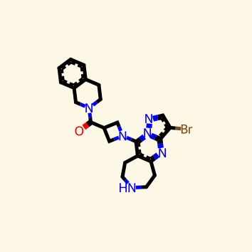 O=C(C1CN(c2c3c(nc4c(Br)cnn24)CCNCC3)C1)N1CCc2ccccc2C1